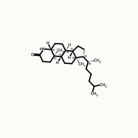 CC(C)CCC[C@@H](C)[C@H]1CC[C@H]2[C@@H]3CC[C@H]4NC(=O)CC[C@]4(C)[C@H]3CC[C@]12C